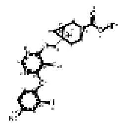 CC(C)OC(=O)N1CC[C@@]2(COc3ncnc(Oc4ccc(C#N)cc4Cl)c3F)C[C@H]2C1